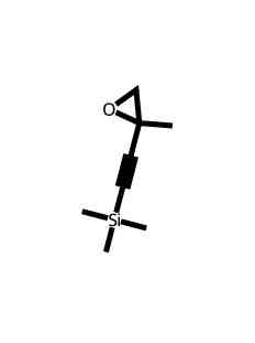 CC1(C#C[Si](C)(C)C)CO1